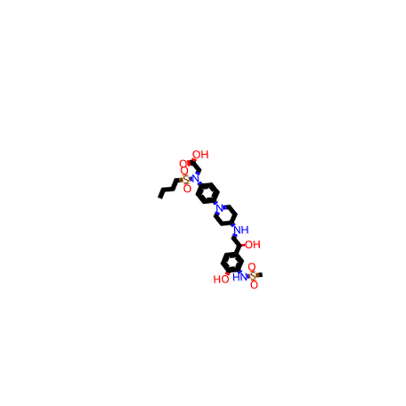 CCCCS(=O)(=O)N(CC(=O)O)c1ccc(N2CCC(NC[C@@H](O)c3ccc(O)c(NS(C)(=O)=O)c3)CC2)cc1